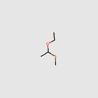 CCOC(C)SC